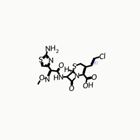 CON=C(C(=O)NC1C(=O)N2C(C(=O)O)=C(/C=C/Cl)CS[C@@H]12)c1csc(N)n1